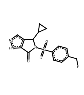 O=C1c2[nH]ncc2C(C2CC2)N1S(=O)(=O)c1ccc(CF)cc1